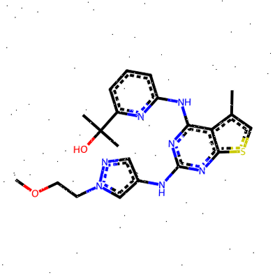 COCCn1cc(Nc2nc(Nc3cccc(C(C)(C)O)n3)c3c(C)csc3n2)cn1